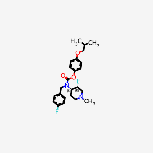 CC(C)COc1ccc(OC(=O)N(Cc2ccc(F)cc2)[C@H]2CCN(C)C[C@H]2F)cc1